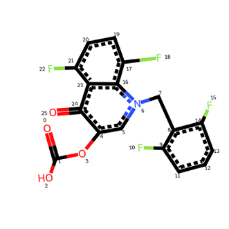 O=C(O)Oc1cn(Cc2c(F)cccc2F)c2c(F)ccc(F)c2c1=O